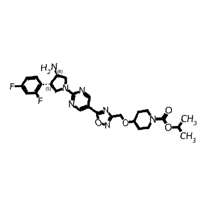 CC(C)OC(=O)N1CCC(OCc2noc(-c3cnc(N4C[C@H](c5ccc(F)cc5F)[C@@H](N)C4)nc3)n2)CC1